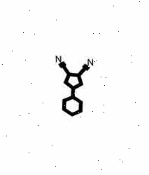 N#CC1CC(C2CCCCC2)CC1C#N